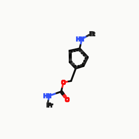 CCNc1ccc(COC(=O)NC(C)C)cc1